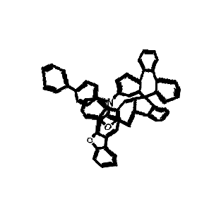 c1ccc(-c2ccc(N(c3ccc4c(c3)C3(c5ccccc5-c5ccccc5-4)c4ccccc4-c4cc5oc6ccccc6c5cc43)c3ccc4c(c3)oc3ccccc34)cc2)cc1